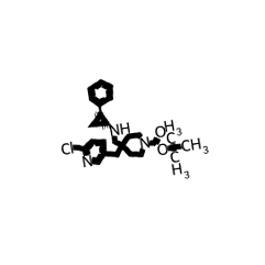 CC(C)(C)OC(=O)N1CCC(CN[C@@H]2C[C@H]2c2ccccc2)(Cc2ccc(Cl)nc2)CC1